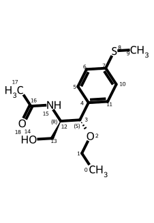 CCO[C@@H](c1ccc(SC)cc1)[C@@H](CO)NC(C)=O